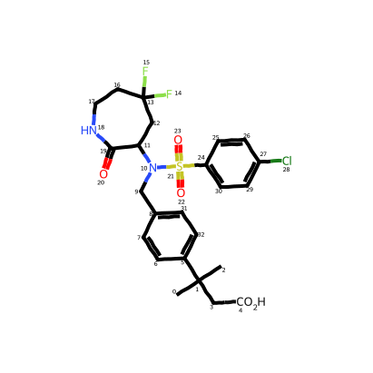 CC(C)(CC(=O)O)c1ccc(CN(C2CC(F)(F)CCNC2=O)S(=O)(=O)c2ccc(Cl)cc2)cc1